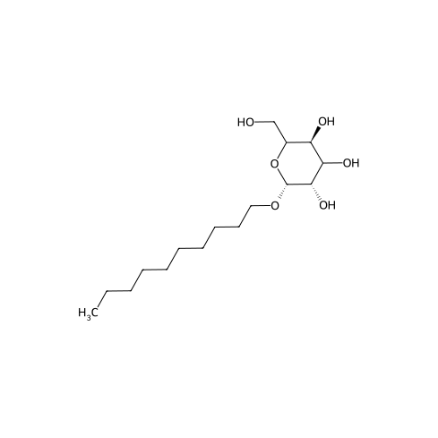 CCCCCCCCCCO[C@@H]1OC(CO)[C@@H](O)C(O)[C@@H]1O